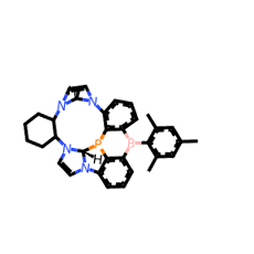 Cc1cc(C)c(B2c3cccc4c3P3c5c2cccc5N2C=CN(C5CCCCC5N5C=CN4[C@H]53)[C@H]2C)c(C)c1